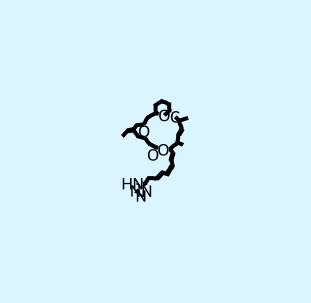 C/C=C1\CC2CC(=O)OC(/C=C/C=C\C=C\Cc3nnn[nH]3)C(C)/C=C/C(C)CC3CCCC(CC(C1)O2)O3